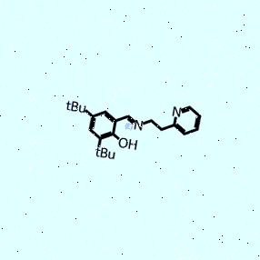 CC(C)(C)c1cc(/C=N/CCc2ccccn2)c(O)c(C(C)(C)C)c1